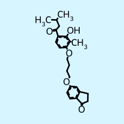 Cc1c(OCCCCOc2ccc3c(c2)CCC3=O)ccc(C(=O)CC(C)C)c1O